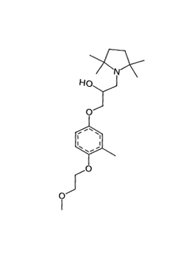 COCCOc1ccc(OCC(O)CN2C(C)(C)CCC2(C)C)cc1C